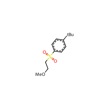 COCCS(=O)(=O)c1ccc(C(C)(C)C)cc1